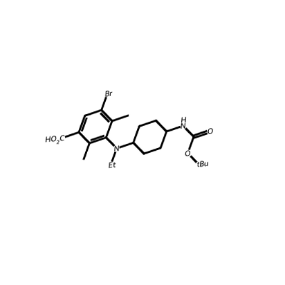 CCN(c1c(C)c(Br)cc(C(=O)O)c1C)C1CCC(NC(=O)OC(C)(C)C)CC1